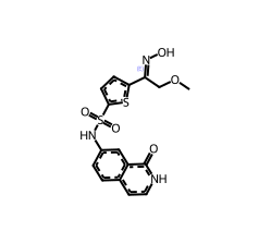 COC/C(=N\O)c1ccc(S(=O)(=O)Nc2ccc3cc[nH]c(=O)c3c2)s1